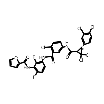 O=C(Nc1c(F)ccc(NC(=O)c2cc(NC(=O)C3[C@H](c4ccc(Cl)c(Cl)c4)C3(Cl)Cl)ccc2Cl)c1F)c1ccco1